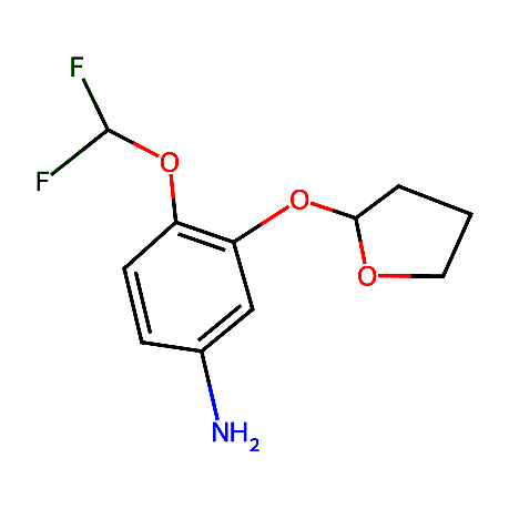 Nc1ccc(OC(F)F)c(OC2CCCO2)c1